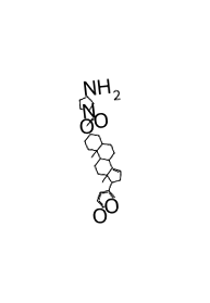 CC12CCC3C(CCC4CC(OC(=O)N5CCC(N)C5)CCC43C)C1=CCC2c1ccc(=O)oc1